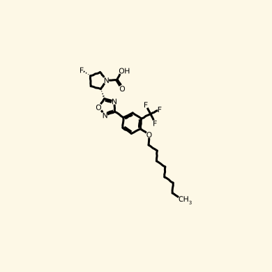 CCCCCCCCOc1ccc(-c2noc([C@@H]3C[C@H](F)CN3C(=O)O)n2)cc1C(F)(F)F